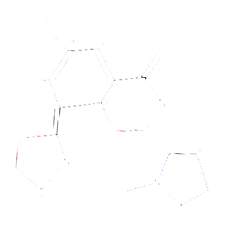 CN1CCC[C@H]1COC1C(C(N)=O)=CC(C(F)(F)F)=CC1=C1NCCO1